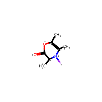 CC1=C(C)N(I)C(C)C(=O)O1